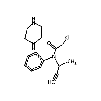 C#CC(C)N(C(=O)CCl)c1ccccc1.C1CNCCN1